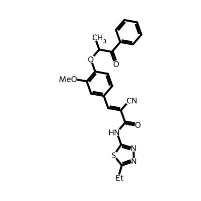 CCc1nnc(NC(=O)/C(C#N)=C/c2ccc(OC(C)C(=O)c3ccccc3)c(OC)c2)s1